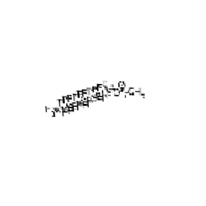 C=CC(=O)OCC(F)(F)C(F)(F)C(F)(F)C(F)(F)C(F)(F)C(F)(F)C(F)(F)C(F)(F)C(F)(F)C(F)(F)C(F)(F)F